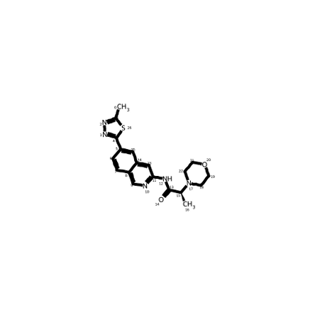 Cc1nnc(-c2ccc3cnc(NC(=O)[C@H](C)N4CCOCC4)cc3c2)s1